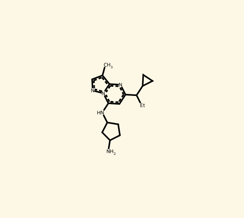 CCC(c1cc(NC2CCC(N)C2)n2ncc(C)c2n1)C1CC1